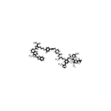 Cc1ncsc1-c1ccc(CNC(=O)[C@@H]2C[C@@H](O)CN2C(=O)[C@@H](NC(=O)C2(F)CC2)C(C)(C)C)c(OCCN(C)CC(=O)N2CCN(CC#Cc3ccc(OCCCc4sc(N5CCCc6c5nnc(Nc5nc7ccccc7s5)c6C)nc4C(=O)O)c(F)c3)CC2)c1